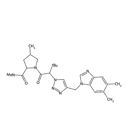 CNC(=O)C1CC(C)CN1C(=O)C(n1cc(Cn2cnc3cc(C)c(C)cc32)nn1)C(C)(C)C